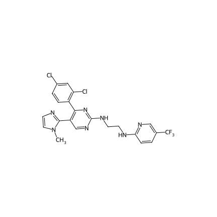 Cn1ccnc1-c1cnc(NCCNc2ccc(C(F)(F)F)cn2)nc1-c1ccc(Cl)cc1Cl